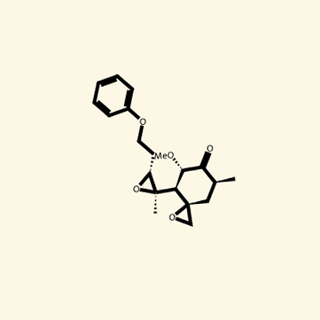 CO[C@@H]1C(=O)[C@@H](C)C[C@]2(CO2)[C@H]1[C@@]1(C)O[C@@H]1CCOc1ccccc1